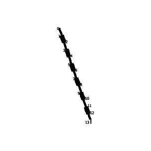 CC#CC#CC#CC#CC#CC#CI